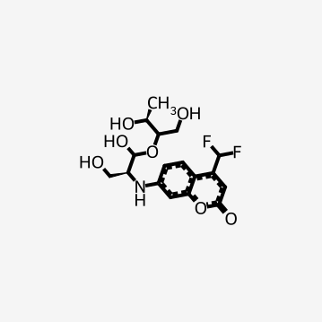 C[C@H](O)C(CO)OC(O)[C@H](CO)Nc1ccc2c(C(F)F)cc(=O)oc2c1